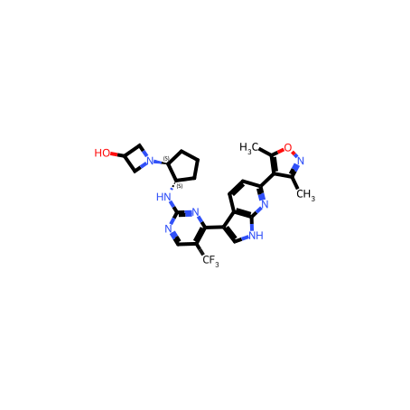 Cc1noc(C)c1-c1ccc2c(-c3nc(N[C@H]4CCC[C@@H]4N4CC(O)C4)ncc3C(F)(F)F)c[nH]c2n1